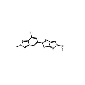 Cn1cc2cc(-c3nc4cn(PI)nc4s3)cc(F)c2n1